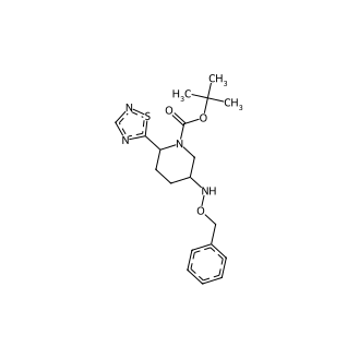 CC(C)(C)OC(=O)N1CC(NOCc2ccccc2)CCC1c1ncns1